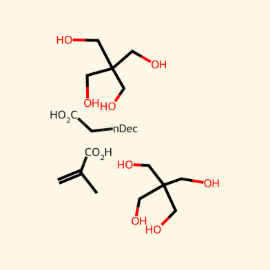 C=C(C)C(=O)O.CCCCCCCCCCCC(=O)O.OCC(CO)(CO)CO.OCC(CO)(CO)CO